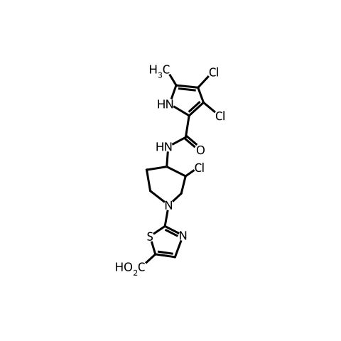 Cc1[nH]c(C(=O)NC2CCN(c3ncc(C(=O)O)s3)CC2Cl)c(Cl)c1Cl